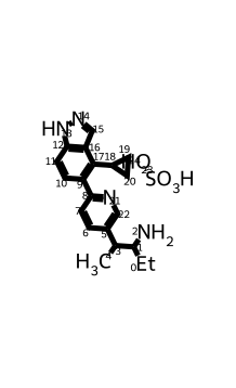 CCC(N)C(C)c1ccc(-c2ccc3[nH]ncc3c2C2CC2)nc1.O=S(=O)(O)O